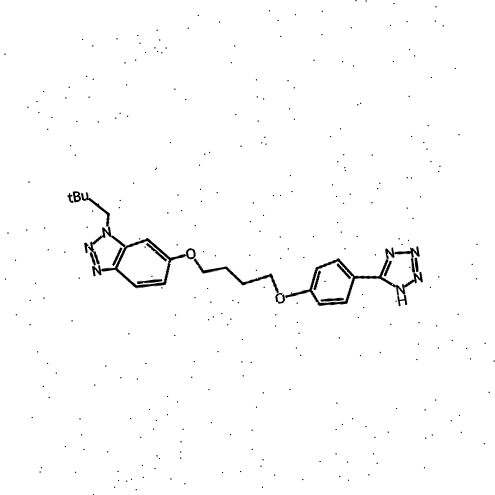 CC(C)(C)Cn1nnc2ccc(OCCCCOc3ccc(-c4nnn[nH]4)cc3)cc21